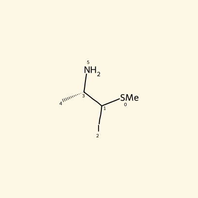 CSC(I)[C@H](C)N